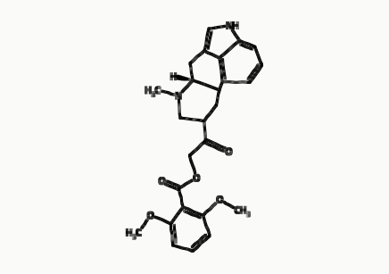 COc1cccc(OC)c1C(=O)OCC(=O)C1CC2c3cccc4[nH]cc(c34)C[C@H]2N(C)C1